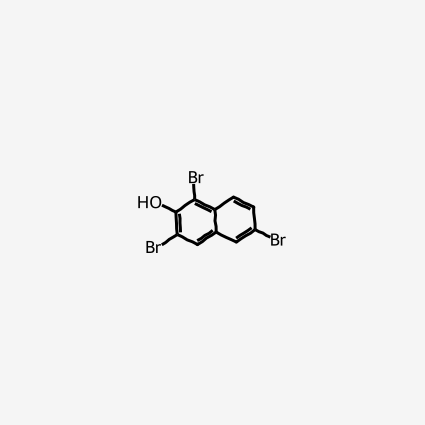 Oc1c(Br)cc2cc(Br)ccc2c1Br